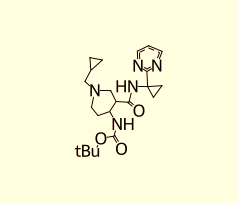 CC(C)(C)OC(=O)NC1CCN(CC2CC2)CC1C(=O)NC1(c2ncccn2)CC1